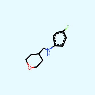 Fc1ccc(NCC2CCOCC2)cc1